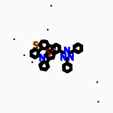 C1=CC(c2nc(-c3ccccc3)nc(-c3ccc4c(c3)sc3c4ccc4sc5cccc(-n6c7ccccc7c7ccccc76)c5c43)n2)=CCC1